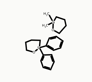 C[Si]1(C)CCCCO1.c1ccc([Si]2(c3ccccc3)CCCCO2)cc1